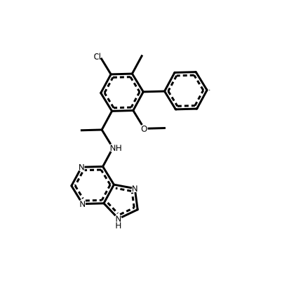 COc1c(C(C)Nc2ncnc3[nH]cnc23)cc(Cl)c(C)c1-c1cc[c]cc1